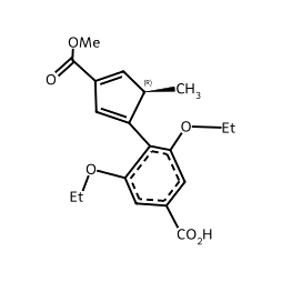 CCOc1cc(C(=O)O)cc(OCC)c1C1=CC(C(=O)OC)=C[C@H]1C